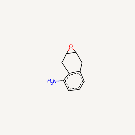 Nc1cccc2c1CC1OC1C2